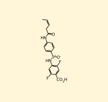 C/C=C\CC(=O)Nc1ccc([S+]([O-])Nc2cc(F)c(C(=O)O)cc2F)cc1